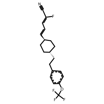 N#CC(F)=CC=C[C@H]1CC[C@H](CCc2ccc(OC(F)(F)F)cc2)CC1